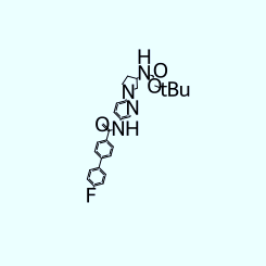 CC(C)(C)OC(=O)NC1CCN(c2ccc(NC(=O)c3ccc(-c4ccc(F)cc4)cc3)cn2)C1